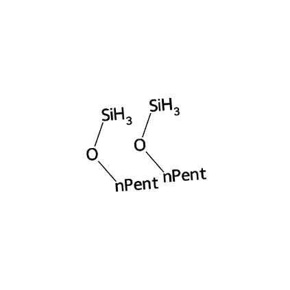 CCCCCO[SiH3].CCCCCO[SiH3]